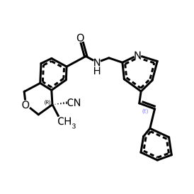 C[C@@]1(C#N)COCc2ccc(C(=O)NCc3cc(/C=C/c4ccccc4)ccn3)cc21